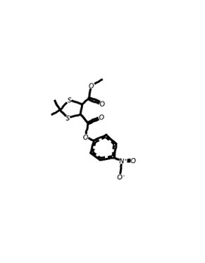 COC(=O)C1SC(C)(C)SC1C(=O)Oc1ccc([N+](=O)[O-])cc1